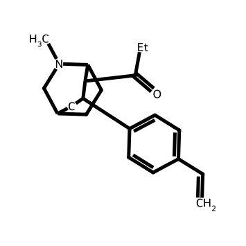 C=Cc1ccc(C2CC3CCC(C2C(=O)CC)N(C)C3)cc1